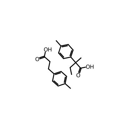 CCC(C)(C(=O)O)c1ccc(C)cc1.Cc1ccc(CCC(=O)O)cc1